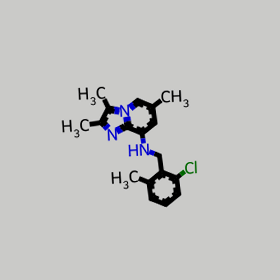 Cc1cc(NCc2c(C)cccc2Cl)c2nc(C)c(C)n2c1